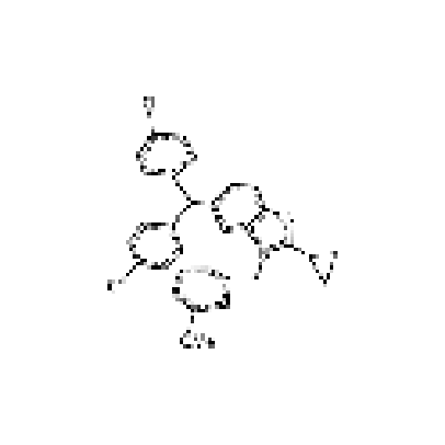 COc1cccc(Cn2c(C3CC3)nc3ccc(C(c4ccc(Cl)cc4)c4ccc(Cl)cc4)cc32)c1